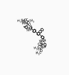 COC(=O)N[C@H](C(=O)N1C(c2ncc(-c3ccc(-c4ccc(-c5ccc6nc([C@@H]7CC8CC8N7C(=O)[C@@H](NC(=O)OC)C(C)C)[nH]c6c5)c5c4CC4(CCCC4)C5)cc3)[nH]2)CC2CC21)C(C)C